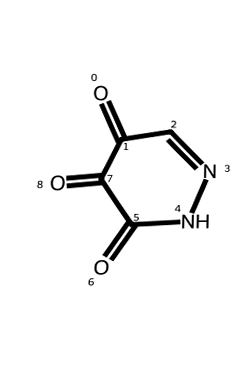 O=C1C=NNC(=O)C1=O